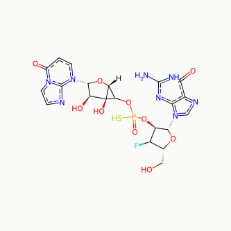 Nc1nc2c(ncn2[C@@H]2O[C@H](CO)[C@@H](F)[C@H]2OP(=O)(S)OC2[C@H]3O[C@@H](n4ccc(=O)n5ccnc45)[C@H](O)[C@@]23O)c(=O)[nH]1